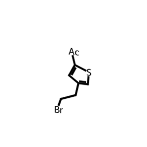 CC(=O)c1cc(CCBr)cs1